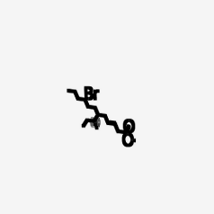 CCCC(Br)CCC(CC=CCC(=O)OC)[C@@H](C)CC